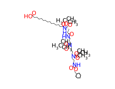 CC(C)(C)OC(=O)[C@H](CCC(=O)NCCCN(CCCCN(CCCNC(=O)OCc1ccccc1)C(=O)OC(C)(C)C)C(=O)OC(C)(C)C)NC(=O)CCCCCCCCCCCCCC(=O)O